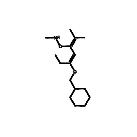 CC/C(=C\C(ONC)=C(C)C)OCC1CCCCC1